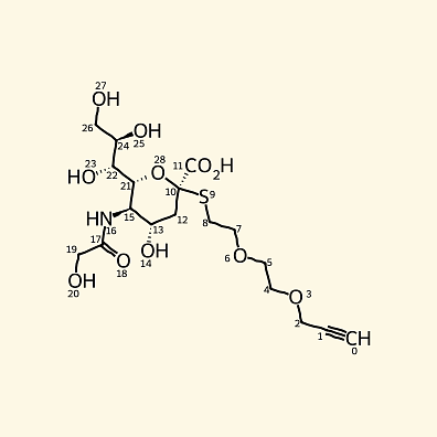 C#CCOCCOCCS[C@@]1(C(=O)O)C[C@H](O)[C@@H](NC(=O)CO)[C@H]([C@H](O)[C@H](O)CO)O1